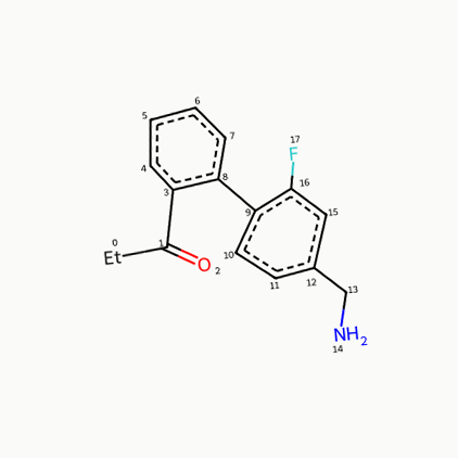 CCC(=O)c1ccccc1-c1ccc(CN)cc1F